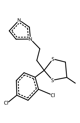 CC1CSC(CCn2ccnc2)(c2ccc(Cl)cc2Cl)S1